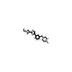 CCN1CC(c2ncc(-c3cccc(CN4CCN(C)CC4)c3)s2)C1